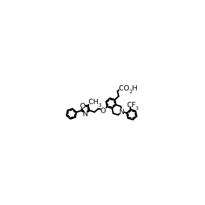 Cc1oc(-c2ccccc2)nc1CCOc1ccc(CCC(=O)O)c2c1CCN(c1ccccc1C(F)(F)F)C2